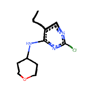 CCc1cnc(Cl)nc1NC1CCOCC1